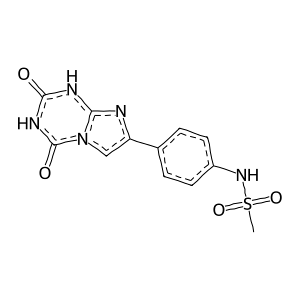 CS(=O)(=O)Nc1ccc(-c2cn3c(=O)[nH]c(=O)[nH]c3n2)cc1